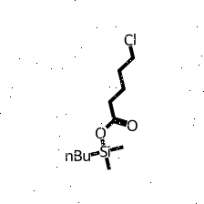 CCCC[Si](C)(C)OC(=O)CCCCCl